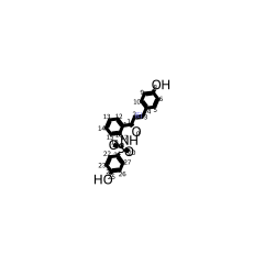 O=C(/C=C/c1ccc(O)cc1)c1ccccc1NS(=O)(=O)c1ccc(O)cc1